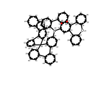 c1ccc(-c2ccccc2N(c2ccc3c(c2)-c2ccccc2Oc2ccccc2-3)c2ccc3c(c2)C2(c4ccccc4-c4ccccc4-3)c3ccccc3-c3c2ccc2sc4ccccc4c32)cc1